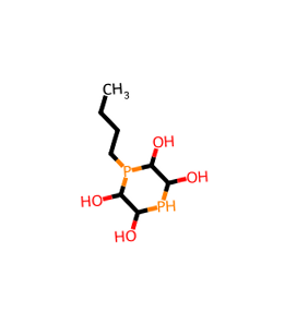 CCCCP1C(O)C(O)PC(O)C1O